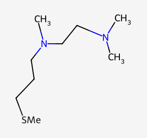 CSCCCN(C)CCN(C)C